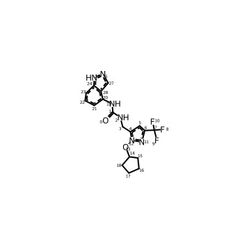 O=C(NCc1cc(C(F)(F)F)nn1OC1CCCC1)Nc1cccc2[nH]ncc12